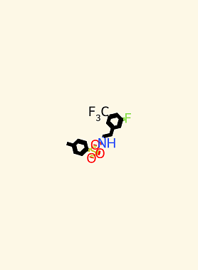 Cc1ccc(S(=O)(=O)ONCCc2cc(F)cc(C(F)(F)F)c2)cc1